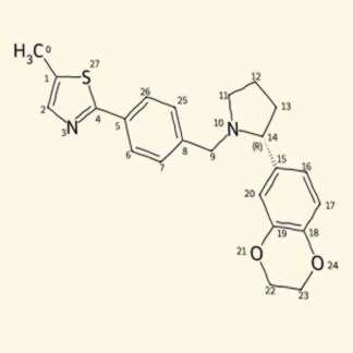 Cc1cnc(-c2ccc(CN3CCC[C@@H]3c3ccc4c(c3)OCCO4)cc2)s1